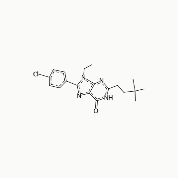 CCn1c(-c2ccc(Cl)cc2)nc2c(=O)[nH]c(CCC(C)(C)C)nc21